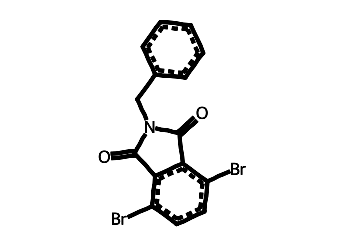 O=C1c2c(Br)ccc(Br)c2C(=O)N1Cc1ccccc1